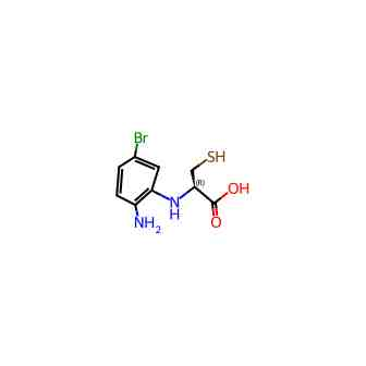 Nc1ccc(Br)cc1N[C@@H](CS)C(=O)O